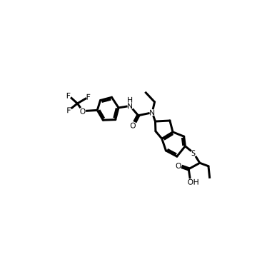 CCC(Sc1ccc2c(c1)CC(N(CC)C(=O)Nc1ccc(OC(F)(F)F)cc1)C2)C(=O)O